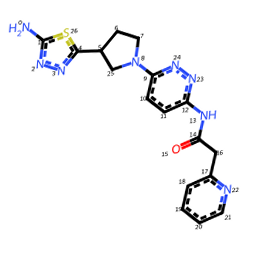 Nc1nnc(C2CCN(c3ccc(NC(=O)Cc4ccccn4)nn3)C2)s1